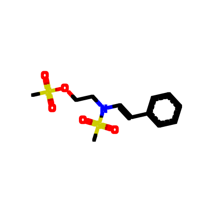 CS(=O)(=O)OCCN(C=Cc1ccccc1)S(C)(=O)=O